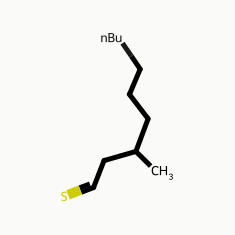 CCCCCCCC(C)CC=S